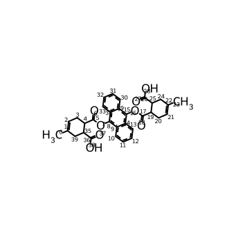 CC1=CCC(C(=O)Oc2c3ccccc3c(OC(=O)C3CC=C(C)CC3C(=O)O)c3ccccc23)C(C(=O)O)C1